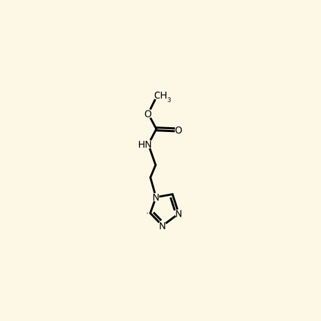 COC(=O)NCCn1[c]nnc1